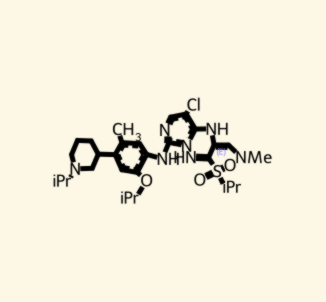 CN/C=C(/Nc1nc(Nc2cc(C)c(C3CCCN(C(C)C)C3)cc2OC(C)C)ncc1Cl)C(=N)S(=O)(=O)C(C)C